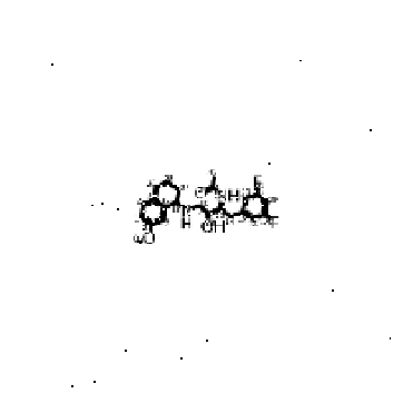 COc1ccc2c(c1)C(NCC(O)C(Cc1cc(F)cc(F)c1)NC(C)=O)CCC2